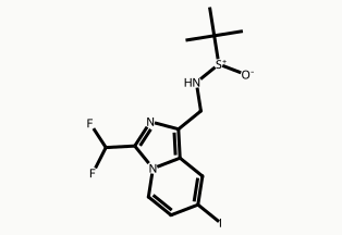 CC(C)(C)[S+]([O-])NCc1nc(C(F)F)n2ccc(I)cc12